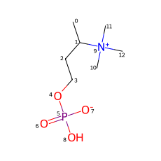 CC(CCOP(=O)([O-])O)[N+](C)(C)C